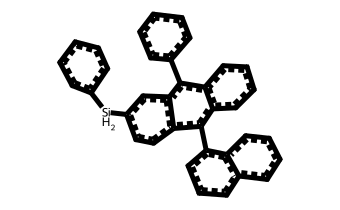 c1ccc([SiH2]c2ccc3c(-c4cccc5ccccc45)c4ccccc4c(-c4ccccc4)c3c2)cc1